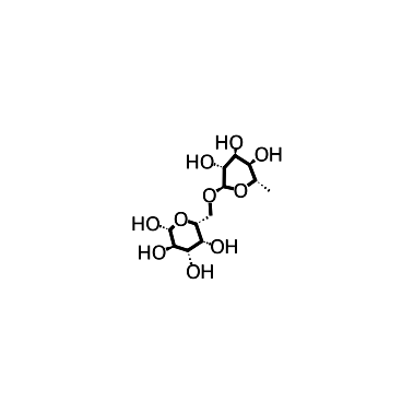 C[C@@H]1O[C@@H](OC[C@H]2O[C@@H](O)[C@H](O)[C@@H](O)[C@H]2O)[C@H](O)[C@H](O)[C@H]1O